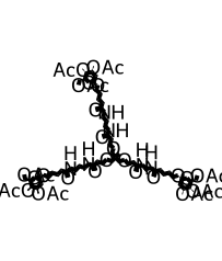 CC(=O)OC[C@H]1O[C@@H](OCCCCC(=O)NCCCNC(=O)CCOCC(C)(COCCC(=O)NCCCNC(=O)CCCCO[C@H]2C[C@@H](OC(C)=O)[C@@H](OC(C)=O)[C@@H](COC(C)=O)O2)COCCC(=O)NCNC(=O)CCCCO[C@H]2C[C@@H](OC(C)=O)[C@@H](OC(C)=O)[C@@H](COC(C)=O)O2)C[C@@H](OC(C)=O)[C@H]1OC(C)=O